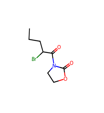 CCCC(Br)C(=O)N1CCOC1=O